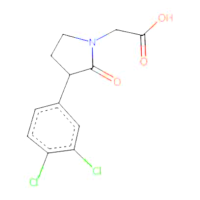 O=C(O)CN1CCC(c2ccc(Cl)c(Cl)c2)C1=O